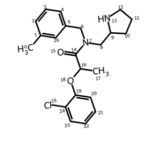 Cc1cccc(CN(CC2CCCN2)C(=O)C(C)Oc2ccccc2Cl)c1